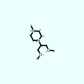 COCC(COC)N1CCN(C)CC1